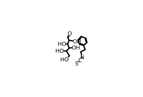 O=CC(O)C(O)C(O)C(O)CO.S=C=NCCc1ccccc1